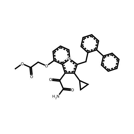 COC(=O)COc1cccn2c(Cc3ccccc3-c3ccccc3)c(C3CC3)c(C(=O)C(N)=O)c12